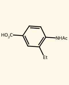 CCc1cc(C(=O)O)ccc1NC(C)=O